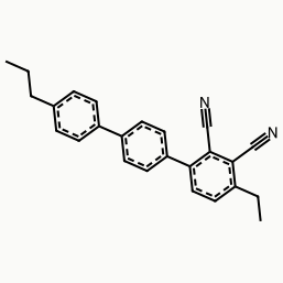 CCCc1ccc(-c2ccc(-c3ccc(CC)c(C#N)c3C#N)cc2)cc1